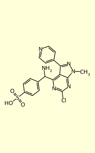 Cn1nc(-c2ccncc2)c2c(C(N)c3ccc(S(=O)(=O)O)cc3)nc(Cl)nc21